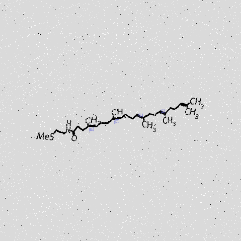 CSCCNC(=O)CC/C(C)=C/CC/C(C)=C/CC/C=C(\C)CC/C=C(\C)CCC=C(C)C